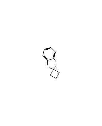 c1ccc2c(c1)OC1(CCC1)O2